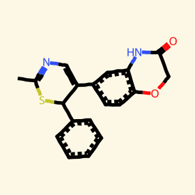 CC1=NC=C(c2ccc3c(c2)NC(=O)CO3)C(c2ccccc2)S1